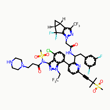 CC(C)(C#Cc1ccc(-c2ccc(Cl)c3c(N(C(=O)CCN4CCNCC4)S(C)(=O)=O)nn(CC(F)(F)F)c23)c(C(Cc2cc(F)cc(F)c2)NC(=O)Cn2nc(C(F)(F)F)c3c2C(F)(F)[C@@H]2C[C@H]32)n1)S(C)(=O)=O